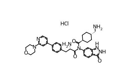 Cl.NC[C@H]1CC[C@H](C(=O)N(C(=O)[C@@H](N)Cc2ccc(-c3ccnc(N4CCOCC4)c3)cc2)c2ccc3c(=O)[nH][nH]c3c2)CC1